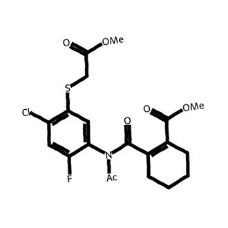 COC(=O)CSc1cc(N(C(C)=O)C(=O)C2=C(C(=O)OC)CCCC2)c(F)cc1Cl